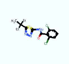 CCC(C)(CC)c1nnc(NC(=O)c2c(Cl)cccc2Cl)s1